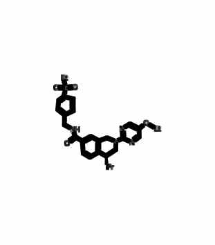 CCOc1cnc(N2Cc3cc(C(=O)NCc4ccc(S(=O)(=O)CC)cc4)ccc3[C@H](C(C)C)C2)nc1